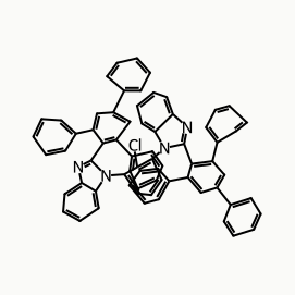 Clc1c(-n2c(-c3c(-c4ccccc4)cc(-c4ccccc4)cc3-c3ccccc3)nc3ccccc32)cccc1-n1c(-c2c(-c3ccccc3)cc(-c3ccccc3)cc2-c2ccccc2)nc2ccccc21